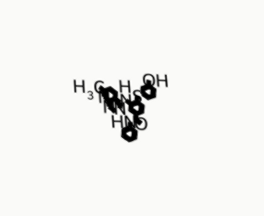 Cc1ccc2c(Nc3cc(C(=O)Nc4ccccc4)ccc3Sc3cccc(O)c3)ncnc2n1